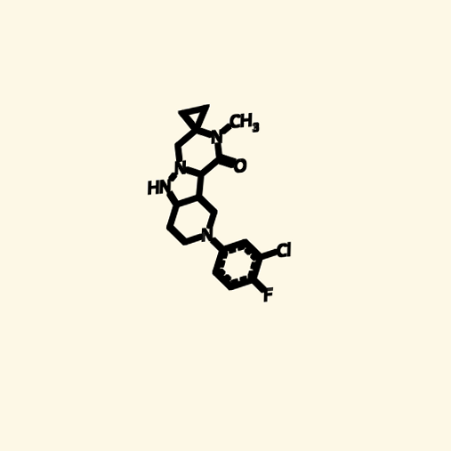 CN1C(=O)C2C3CN(c4ccc(F)c(Cl)c4)CCC3NN2CC12CC2